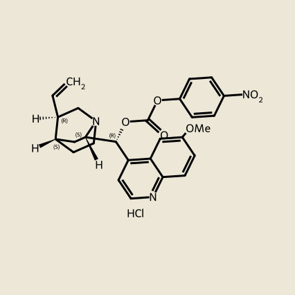 C=C[C@H]1CN2CC[C@H]1C[C@H]2[C@H](OC(=O)Oc1ccc([N+](=O)[O-])cc1)c1ccnc2ccc(OC)cc12.Cl